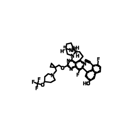 C#Cc1c(F)ccc2cc(O)cc(-c3nc4c5c(nc(OCC6(CN7CCC(OC(F)(F)F)CC7)CC6)nc5c3F)N3C[C@H]5CC[C@H](N5)[C@H]3CC4)c12